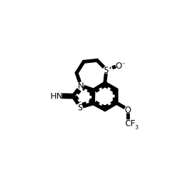 N=c1sc2cc(OC(F)(F)F)cc3c2n1CCC[S+]3[O-]